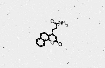 NC(=O)CCc1cc(=O)oc2c1ccc1ccccc12